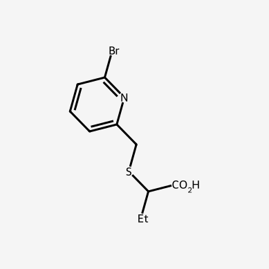 CCC(SCc1cccc(Br)n1)C(=O)O